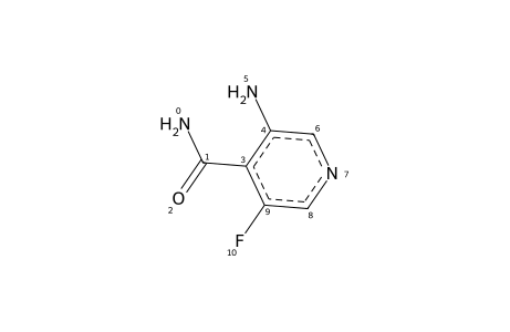 NC(=O)c1c(N)cncc1F